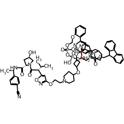 CC(C)[C@@H](C(=O)N1C[C@H](O)C[C@H]1C(=O)N[C@H](C)c1ccc(C#N)cc1)c1cc(OCCN2CCC(OC3CC(Oc4cc(N5C6CCC5CN(c5cc(-c7ccccc7OCOP(=O)(O)OP(=O)(O)OCCNC(=O)OCC7c8ccccc8-c8ccccc87)nnc5N)C6)ccn4)C3)CC2)no1